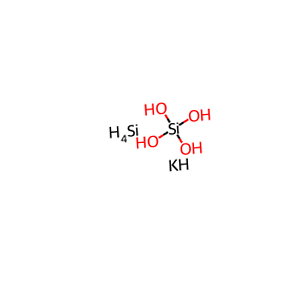 O[Si](O)(O)O.[KH].[SiH4]